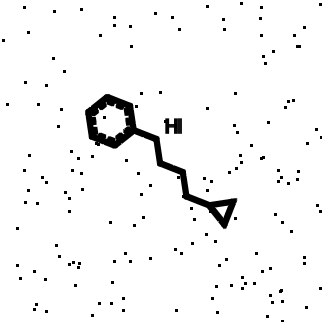 I.c1ccc(CCCCC2CC2)cc1